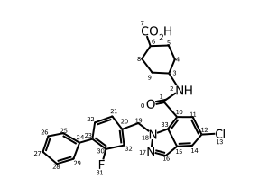 O=C(NC1CCC(C(=O)O)CC1)c1cc(Cl)cc2cnn(Cc3ccc(-c4ccccc4)c(F)c3)c12